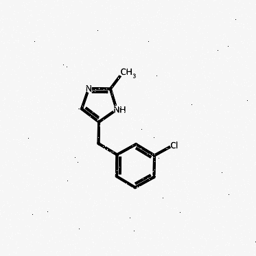 Cc1n[c]c(Cc2cccc(Cl)c2)[nH]1